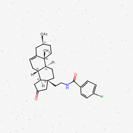 CC(=O)O[C@H]1CC[C@@]2(C)C(=CC[C@H]3[C@@H]4CC(=O)C[C@@]4(CCNC(=O)c4ccc(F)cc4)CC[C@@H]32)C1